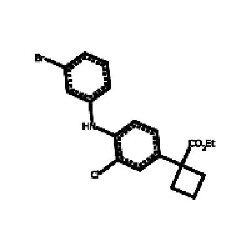 CCOC(=O)C1(c2ccc(Nc3cccc(Br)c3)c(Cl)c2)CCC1